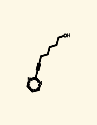 OCCCCCC#Cc1ncccn1